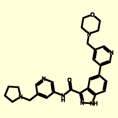 O=C(Nc1cncc(CN2CCCC2)c1)c1n[nH]c2ccc(-c3cncc(CN4CCOCC4)c3)cc12